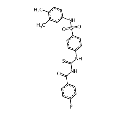 Cc1ccc(NS(=O)(=O)c2ccc(NC(=S)NC(=O)c3ccc(F)cc3)cc2)cc1C